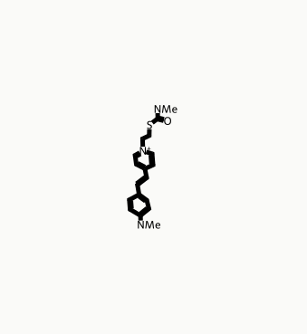 CNC(=O)SCC[n+]1ccc(/C=C/c2ccc(NC)cc2)cc1